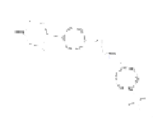 CC1CC(=O)NN=C1c1ccc(N/N=C/c2ccc(S(C)(=O)=O)cc2)cc1